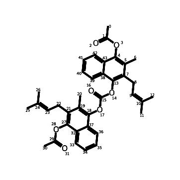 CC(=O)Oc1c(C)c(CC=C(C)C)c(OC(=O)Oc2c(C)c(CC=C(C)C)c(OC(C)=O)c3ccccc23)c2ccccc12